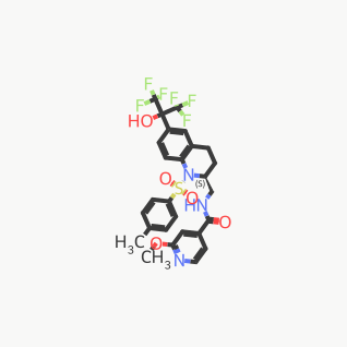 COc1cc(C(=O)NC[C@@H]2CCc3cc(C(O)(C(F)(F)F)C(F)(F)F)ccc3N2S(=O)(=O)c2ccc(C)cc2)ccn1